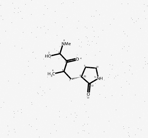 CNC(O)C(=O)C(C)C[C@@H]1CCNC1=O